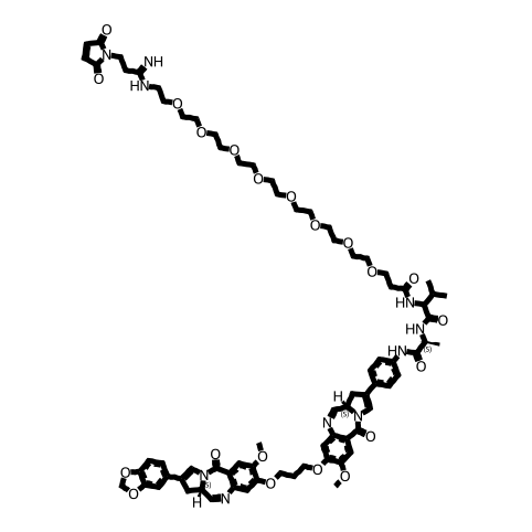 COc1cc2c(cc1OCCCOc1cc3c(cc1OC)C(=O)N1C=C(c4ccc5c(c4)OCO5)C[C@H]1C=N3)N=C[C@@H]1CC(c3ccc(NC(=O)[C@H](C)NC(=O)C(NC(=O)CCOCCOCCOCCOCCOCCOCCOCCOCCNC(=N)CCN4C(=O)C=CC4=O)C(C)C)cc3)=CN1C2=O